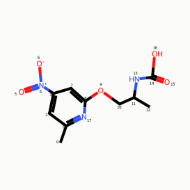 Cc1cc([N+](=O)[O-])cc(OCC(C)NC(=O)O)n1